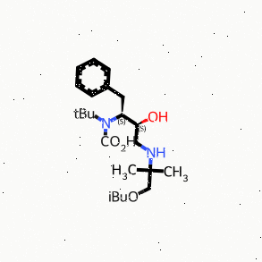 CC(C)COCC(C)(C)NC[C@H](O)[C@H](Cc1ccccc1)N(C(=O)O)C(C)(C)C